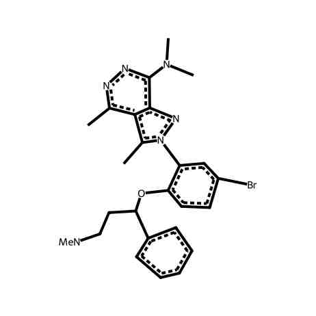 CNCCC(Oc1ccc(Br)cc1-n1nc2c(N(C)C)nnc(C)c2c1C)c1ccccc1